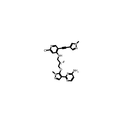 Cn1cc(C#Cc2cnc(Cl)cc2NC[C@H](F)COc2c(-c3nccc(N)n3)cnn2C)cn1